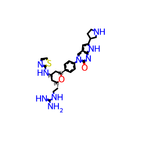 N=C(N)NCC[C@@H]1C[C@@H](Nc2nccs2)C[C@@H](c2ccc(-n3cc4cc(C5CCNC5)[nH]c4nc3=O)cc2)O1